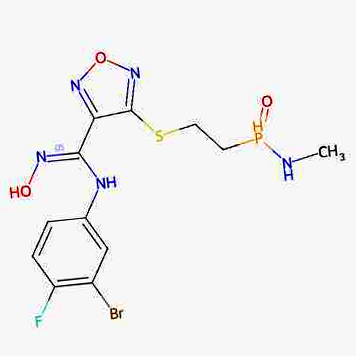 CN[PH](=O)CCSc1nonc1/C(=N/O)Nc1ccc(F)c(Br)c1